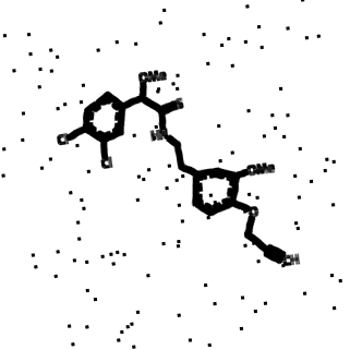 C#CCOc1ccc(CCNC(=S)C(OC)c2ccc(Cl)c(Cl)c2)cc1OC